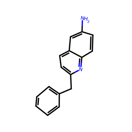 Nc1ccc2nc(Cc3ccccc3)ccc2c1